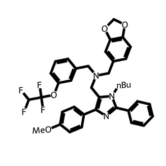 CCCCn1c(-c2ccccc2)nc(-c2ccc(OC)cc2)c1CN(Cc1cccc(OC(F)(F)C(F)F)c1)Cc1ccc2c(c1)OCO2